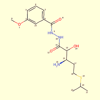 COc1cccc(C(=O)NNC(=O)C(O)[C@H](N)CCSC(C)C)c1